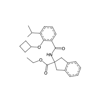 CCOC(=O)C1(NC(=O)c2cccc(C(C)C)c2OC2CCC2)Cc2ccccc2C1